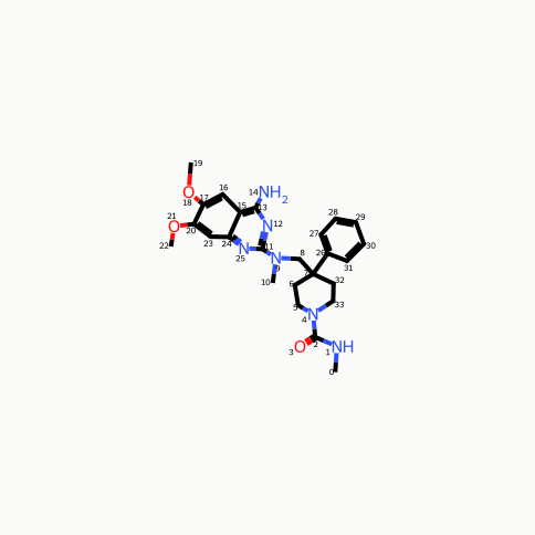 CNC(=O)N1CCC(CN(C)c2nc(N)c3cc(OC)c(OC)cc3n2)(c2ccccc2)CC1